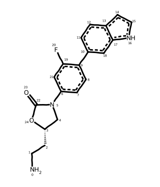 NCC[C@H]1CN(c2ccc(-c3ccc4cc[nH]c4c3)c(F)c2)C(=O)O1